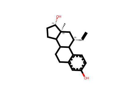 C=C[C@H]1C[C@@]2(C)C(CC[C@@H]2O)C2CCc3cc(O)ccc3C21